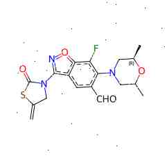 C=C1CN(c2noc3c(F)c(N4CC(C)O[C@H](C)C4)c(C=O)cc23)C(=O)S1